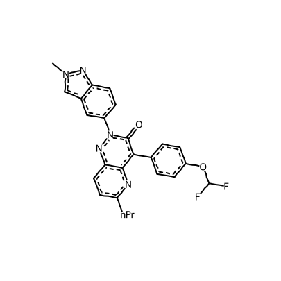 CCCc1ccc2nn(-c3ccc4nn(C)cc4c3)c(=O)c(-c3ccc(OC(F)F)cc3)c2n1